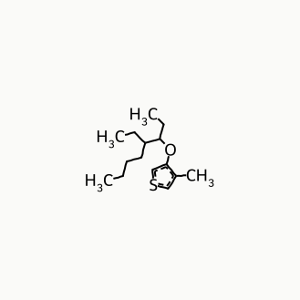 CCCCC(CC)C(CC)Oc1cscc1C